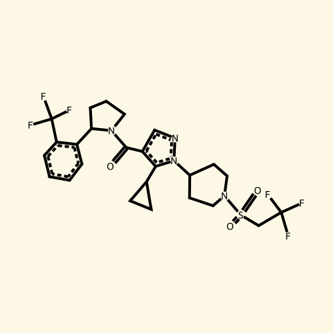 O=C(c1cnn(C2CCN(S(=O)(=O)CC(F)(F)F)CC2)c1C1CC1)N1CCCC1c1ccccc1C(F)(F)F